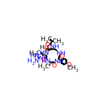 CCC(NC(=N)N)[C@@H]1NC(=O)[C@](C)(NC(=O)C(C)C)CCNC(=O)[C@@H](c2ccc(OC)cc2)NC(=O)[C@H](CC)NC1=O